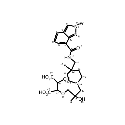 CC(C)n1cc2cccc(C(=O)NCC3(F)CCN(CC(C)(O)COC(C(=O)O)C(O)C(=O)O)CC3)c2n1